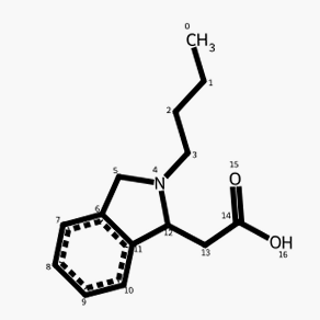 CCCCN1Cc2ccccc2C1CC(=O)O